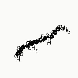 CC(CCc1ccc2c(c1)CN(C1CCC(=O)NC1=O)C2=O)C(=O)c1ccc(N2CCN(C3CCN(c4ccc(C(=O)Nc5cccc(SC6=NCC(C7CCC(C)(N)CC7)CC=C6)c5)cc4F)CC3)CC2)cn1